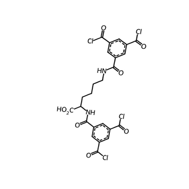 O=C(Cl)c1cc(C(=O)Cl)cc(C(=O)NCCCCC(NC(=O)c2cc(C(=O)Cl)cc(C(=O)Cl)c2)C(=O)O)c1